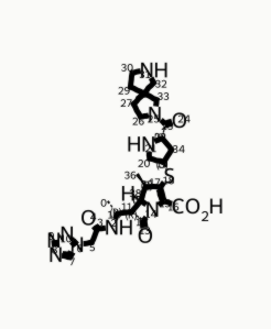 C[C@@H](NC(=O)Cn1cnnn1)[C@H]1C(=O)N2C(C(=O)O)=C(S[C@@H]3CN[C@H](C(=O)N4CCC5(CCNC5)C4)C3)[C@H](C)[C@H]12